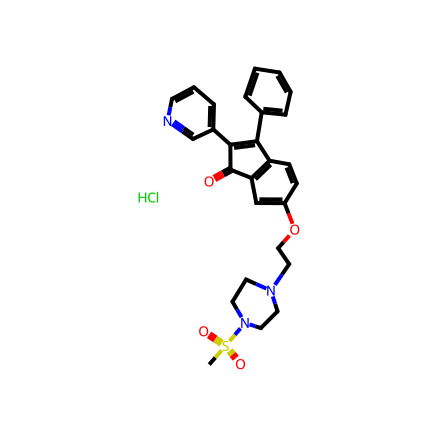 CS(=O)(=O)N1CCN(CCOc2ccc3c(c2)C(=O)C(c2cccnc2)=C3c2ccccc2)CC1.Cl